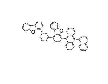 c1cc(-c2cccc3c2oc2ccccc23)cc(-c2ccc(-c3c4ccccc4c(-c4cccc5ccccc45)c4ccccc34)c3oc4ccccc4c23)c1